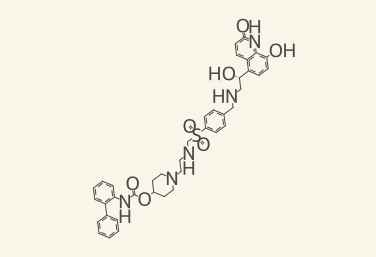 O=C(Nc1ccccc1-c1ccccc1)OC1CCN(CCNCS(=O)(=O)c2ccc(CNC[C@H](O)c3ccc(O)c4[nH]c(=O)ccc34)cc2)CC1